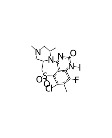 Cc1c(Cl)c2c3c(nc(=O)n(I)c3c1F)N1C(C)CN(C)CC1CS2(=O)=O